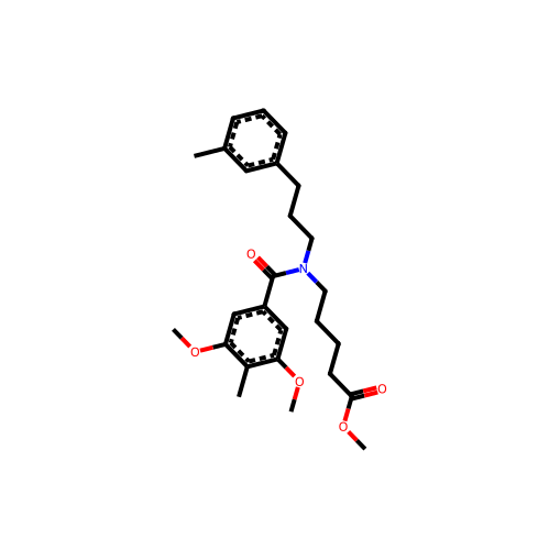 COC(=O)CCCCN(CCCc1cccc(C)c1)C(=O)c1cc(OC)c(C)c(OC)c1